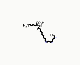 CC/C=C\C/C=C\C/C=C\CCCCCCCC(=O)N[C@@H](CCCCN)C(=O)O